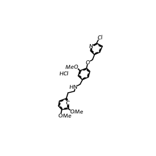 COc1ccc(CCNCc2ccc(OCc3ccc(Cl)nc3)c(OC)c2)cc1OC.Cl